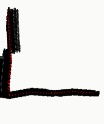 Cl.Cl.Cl.Cl.Cl.Cl.Cl.Cl.Cl.Cl.Cl.Cl.Cl.Cl.Cl.Cl.Cl.Cl.Cl.Cl.Cl.Cl.Cl.Cl.Cl.Cl.Cl.Cl.Cl.Cl.Cl.Cl.Cl.Cl.Cl.Cl.Cl.Cl.Cl.Cl.Cl.Cl.Cl.Cl.Cl.Cl.Cl.Cl.Cl.Cl.Cl.Cl.Cl.Cl.Cl.Cl.Cl.Cl.Cl.Cl.Cl.Cl.Cl.Cl.[Ca+2].[Ca+2].[Ca+2].[Ca+2].[Ca+2].[Ca+2].[Ca+2].[Ca+2].[Ca+2].[Ca+2].[Ca+2].[Ca+2].[Ca+2].[Ca+2].[Ca+2].[Ca+2].[Ca+2].[Ca+2].[Ca+2].[Ca+2].[Ca+2].[Ca+2].[Ca+2].[Ca+2].[Ca+2].[Ca+2].[Ca+2].[Ca+2].[Ca+2].[Ca+2].[Ca+2].[Ca+2].[Ca+2].[Ca+2].[Ca+2].[Ca+2].[Ca+2].[Ca+2].[Ca+2].[Ca+2].[Ca+2].[Ca+2].[Ca+2].[Ca+2].[Ca+2].[Ca+2].[Ca+2].[Ca+2].[Ca+2].[Ca+2].[Ca+2].[Ca+2].[Ca+2].[Ca+2].[Ca+2].[Ca+2].[Ca+2].[Ca+2]